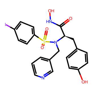 O=C(NO)[C@@H](Cc1ccc(O)cc1)N(Cc1cccnc1)S(=O)(=O)c1ccc(I)cc1